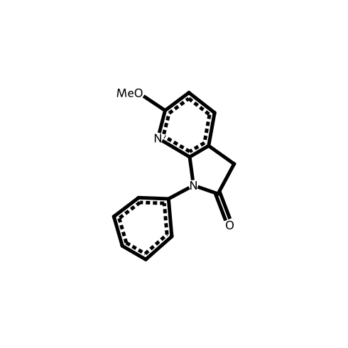 COc1ccc2c(n1)N(c1ccccc1)C(=O)C2